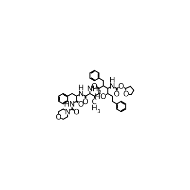 CC(CC(=O)C(Cc1ccccc1)C(NC(=O)OC1CCCO1)C(O)CCc1ccccc1)C(N)C(=O)NC(Cc1ccccc1)C(=O)NC(=O)N1CCOCC1